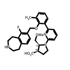 COC[C@@H]1[C@H](C(=O)O)CCN1c1cccc(-c2cccc(C)c2OCc2ccc3c(c2F)CCNCC3)n1